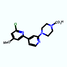 COc1cc(Cl)nc(-c2ccnc(N3CCN(C(=O)O)CC3)c2)c1